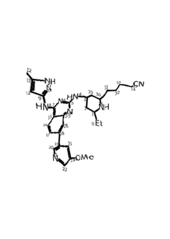 CCC1CC(Nc2nc(Nc3cc(C)[nH]n3)c3ccc(-c4cncc(OC)c4)cc3n2)CC(CCCCC#N)N1